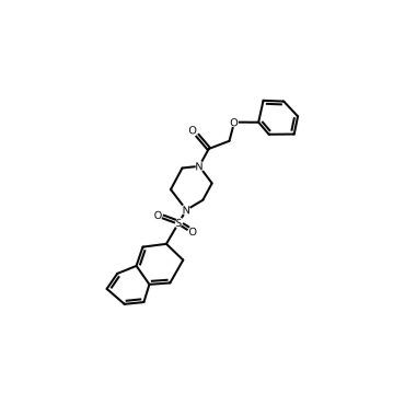 O=C(COc1ccccc1)N1CCN(S(=O)(=O)C2C=c3ccccc3=CC2)CC1